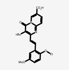 CCCCc1c(/C=C/c2cc(OC)ccc2OCC)nc2ccc(C(=O)O)cn2c1=O